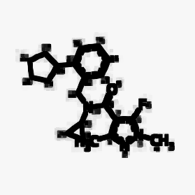 Cc1nn(C)c(F)c1C(=O)N(Cc1ccccc1C1CCCC1)C1CC1